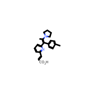 CC(=C(c1ccc(C)cc1)c1cccc(C=CC(=O)O)n1)N1CCCC1